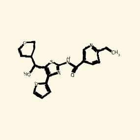 CCc1ccc(C(=O)Nc2nc(-c3ccco3)c(C(O)C3CCOCC3)s2)cn1